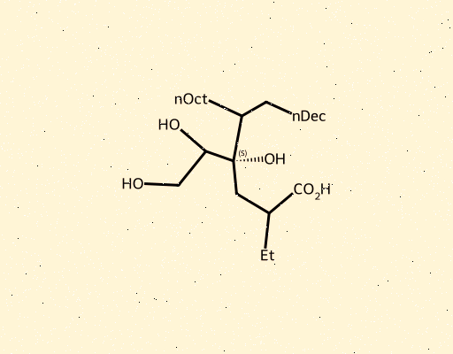 CCCCCCCCCCCC(CCCCCCCC)[C@@](O)(CC(CC)C(=O)O)C(O)CO